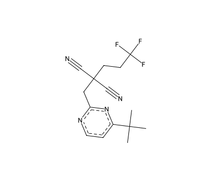 CC(C)(C)c1ccnc(CC(C#N)(C#N)CCC(F)(F)F)n1